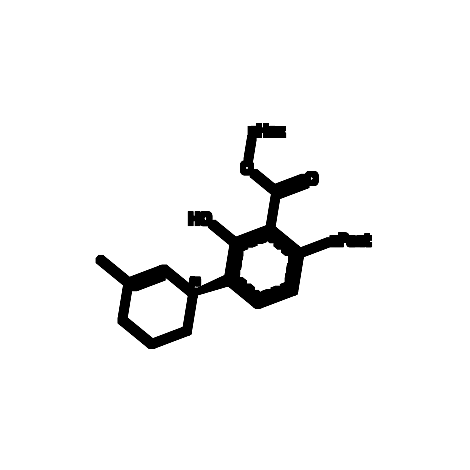 CCCCCCOC(=O)c1c(CCCCC)ccc([C@@H]2C=C(C)CCC2)c1O